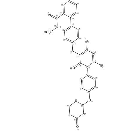 CCCc1nc(CC)n(-c2ccc(OC3CCCC(=O)C3)cc2)c(=O)c1Cc1ccc(-c2ccccc2C(=N)NC(=O)O)cc1